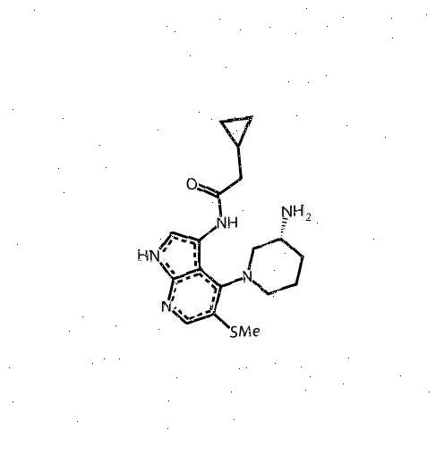 CSc1cnc2[nH]cc(NC(=O)CC3CC3)c2c1N1CCC[C@@H](N)C1